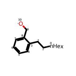 CCCCCCCCc1ccccc1C[O]